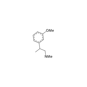 CNCC(C)c1cccc(OC)c1